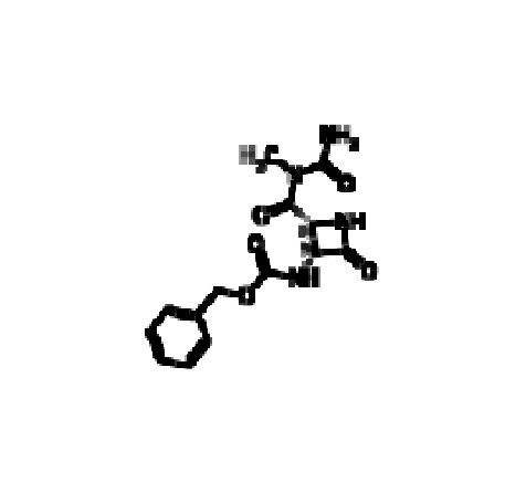 CN(C(N)=O)C(=O)[C@@H]1NC(=O)[C@@H]1NC(=O)OCc1ccccc1